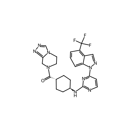 O=C([C@H]1CC[C@H](Nc2nccc(-n3ncc4c(C(F)(F)F)cccc43)n2)CC1)N1CCn2cnnc2C1